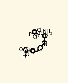 C[C@@H](Oc1cc(-c2cnn(C3CCN(Cc4ccc(N5CCC(=O)NC5=O)cc4)CC3)c2)cnc1N)c1c(Cl)ccc(F)c1Cl